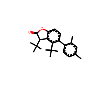 Cc1ccc(-c2ccc3c(c2C(C)(C)C)C(C(C)(C)C)C(=O)O3)c(C)c1